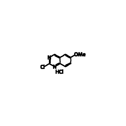 COc1ccc2nc(Cl)ncc2c1.Cl